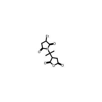 CCC1CC(=O)N(C(C)(C)C2CC(=O)OC2=O)C1=O